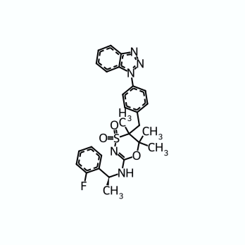 C[C@H](NC1=NS(=O)(=O)C(C)(Cc2ccc(-n3nnc4ccccc43)cc2)C(C)(C)O1)c1ccccc1F